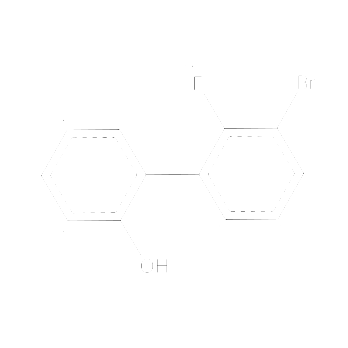 Oc1ccccc1-c1cccc(Br)c1F